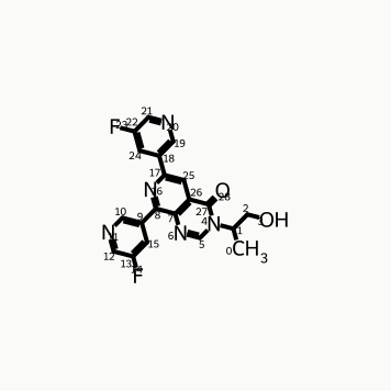 CC(CO)n1cnc2c(-c3cncc(F)c3)nc(-c3cncc(F)c3)cc2c1=O